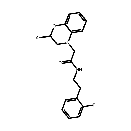 CC(=O)C1CN(CC(=O)NCCc2ccccc2F)c2ccccc2O1